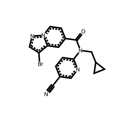 N#Cc1ccc(N(CC2CC2)C(=O)c2ccn3ncc(Br)c3c2)nc1